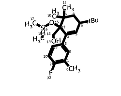 Cc1cc(C2=CC(C(C)(C)C)CC(C)(C)C2(CO)O[SiH](C)C)ccc1F